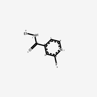 CCNC(=O)c1ccnc(F)c1